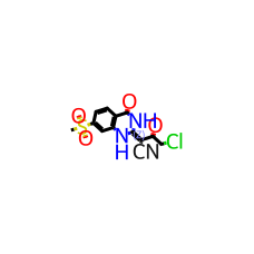 CS(=O)(=O)c1ccc2c(c1)N/C(=C(\C#N)C(=O)CCl)NC2=O